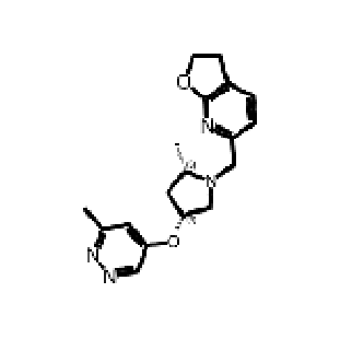 Cc1cc(O[C@@H]2C[C@H](C)N(Cc3ccc4c(n3)OCC4)C2)cnn1